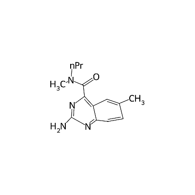 CCCN(C)C(=O)c1nc(N)nc2ccc(C)cc12